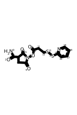 NC(=O)C1CC(=O)N(OC(=O)CCSSc2ccccn2)C1=O